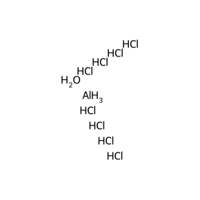 Cl.Cl.Cl.Cl.Cl.Cl.Cl.Cl.O.[AlH3]